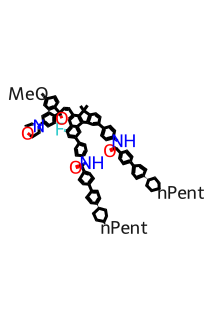 CCCCC[C@H]1CC[C@H](c2ccc(-c3ccc(C(=O)Nc4ccc(-c5ccc6c(c5)-c5c(c7c(c8c(F)cc(-c9ccc(NC(=O)c%10ccc(-c%11ccc([C@H]%12CC[C@H](CCCCC)CC%12)cc%11)cc%10)cc9)cc58)OC(c5ccc(OC)cc5)(c5ccc(N8CCOCC8)cc5)C=C7)C6(C)C)cc4)cc3)cc2)CC1